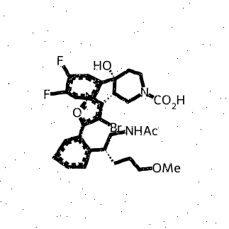 COCCC[C@@H](CNC(C)=O)c1ccccc1-c1onc([C@H]2CN(C(=O)O)CC[C@]2(O)c2ccc(F)c(F)c2)c1Br